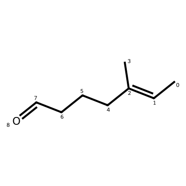 C/C=C(\C)CCCC=O